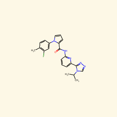 Cc1ccc(-n2cccc2C(=O)Nc2cccc(-c3nncn3C(C)C)n2)cc1F